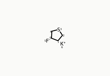 C1CCSC1.[F-].[K+]